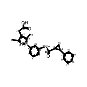 Cc1nn(-c2cccc(NC(=O)C3CC3c3ccccc3)c2)c(C)c1CC(=O)O